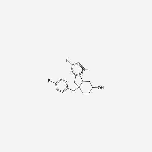 CN(C)CC1CC(O)CCC1(Cc1ccc(F)cc1)Cc1cccc(F)c1